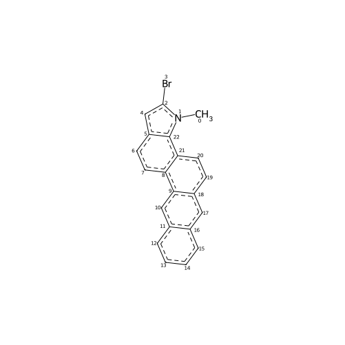 Cn1c(Br)cc2ccc3c4cc5ccccc5cc4ccc3c21